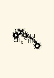 Cc1ccc2c(c1)-c1nn(CC(=O)NCCNCC3CCCCC3)cc1CO2